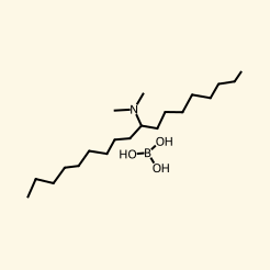 CCCCCCCCCC(CCCCCCCC)N(C)C.OB(O)O